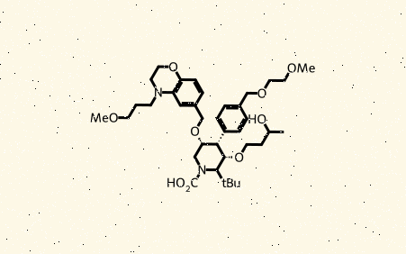 COCCCN1CCOc2ccc(CO[C@H]3CN(C(=O)O)C(C(C)(C)C)[C@@H](OCCC(C)O)[C@H]3c3ccc(COCCOC)cc3)cc21